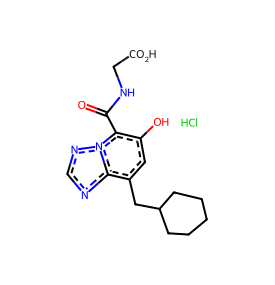 Cl.O=C(O)CNC(=O)c1c(O)cc(CC2CCCCC2)c2ncnn12